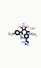 Cl.Cn1cc(C2=C(c3cn(C)c4cc([N+](=O)[O-])ccc34)C(=O)NC2=O)c2ccc(-c3cnc[nH]3)cc21